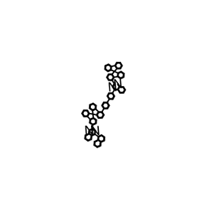 c1ccc2c(c1)-c1cc(-c3nc(-c4cccc5ccccc45)c4ccccc4n3)ccc1C21c2ccccc2-c2c(-c3ccc(-c4ccc(-c5nc(-c6cccc7c6-c6ccccc6C76c7ccccc7-c7ccccc76)nc6ccccc56)cc4)cc3)cccc21